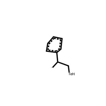 [CH2]C(C[TeH])c1ccccc1